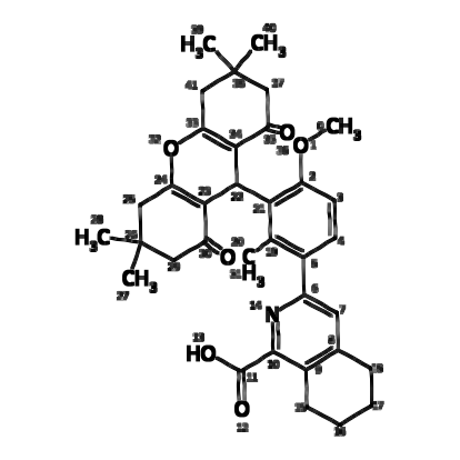 COc1ccc(-c2cc3c(c(C(=O)O)n2)CCCC3)c(C)c1C1C2=C(CC(C)(C)CC2=O)OC2=C1C(=O)CC(C)(C)C2